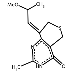 COC(C)C=C1CSCc2c1nc(C)[nH]c2=O